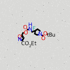 CCOC(=O)c1cc(COC(=O)NCC2(F)CCN(C(=O)OC(C)(C)C)CC2)on1